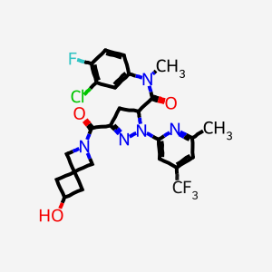 Cc1cc(C(F)(F)F)cc(N2N=C(C(=O)N3CC4(CC(O)C4)C3)CC2C(=O)N(C)c2ccc(F)c(Cl)c2)n1